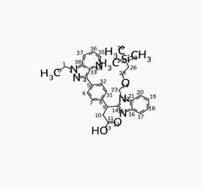 CCn1nc(-c2ccc(C(CC(=O)O)c3nc4ccccc4n3COCC[Si](C)(C)C)cc2)c2ncccc21